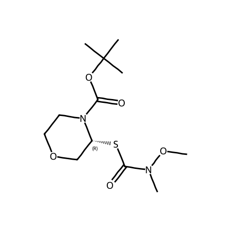 CON(C)C(=O)S[C@@H]1COCCN1C(=O)OC(C)(C)C